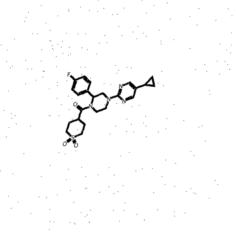 O=C(C1CCS(=O)(=O)CC1)N1CCN(c2ncc(C3CC3)cn2)CC1c1ccc(F)cc1